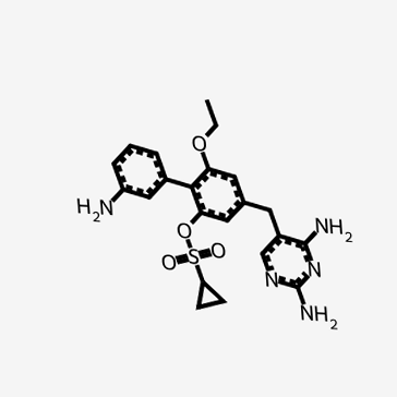 CCOc1cc(Cc2cnc(N)nc2N)cc(OS(=O)(=O)C2CC2)c1-c1cccc(N)c1